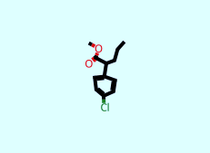 CCCC(C(=O)OC)c1ccc(Cl)cc1